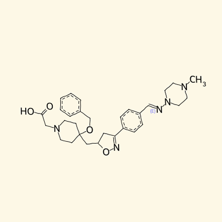 CN1CCN(/N=C/c2ccc(C3=NOC(CC4(OCc5ccccc5)CCN(CC(=O)O)CC4)C3)cc2)CC1